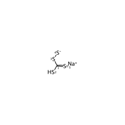 S=C(S)S[S-].[Na+]